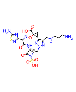 NCCCNCc1cnn(C[C@@H]2[C@H](NC(=O)C(=NOC3(C(=O)O)CC3)c3nsc(N)n3)C(=O)N2S(=O)(=O)O)n1